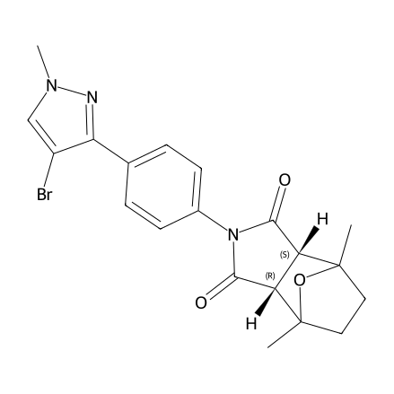 Cn1cc(Br)c(-c2ccc(N3C(=O)[C@@H]4[C@H](C3=O)C3(C)CCC4(C)O3)cc2)n1